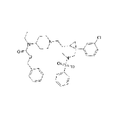 CCN(C(=O)OCc1ccccc1)C1CCN(CC[C@@H]2C[C@@]2(CN(C)S(=O)(=O)c2ccccc2)c2cccc(Cl)c2)CC1